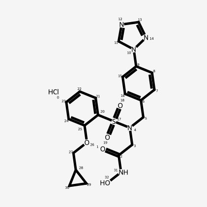 Cl.O=C(CN(Cc1ccc(-n2cncn2)cc1)S(=O)(=O)c1ccccc1OCC1CC1)NO